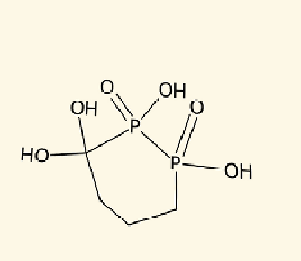 O=P1(O)CCCC(O)(O)P1(=O)O